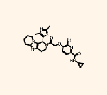 CCc1nc(C(=O)NC2CC2)ccc1OCC(=O)N1CCc2nc3n(c2[C@@H]1c1sc(C)nc1C)CCCC3